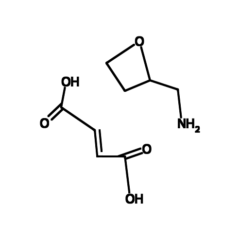 NCC1CCO1.O=C(O)/C=C/C(=O)O